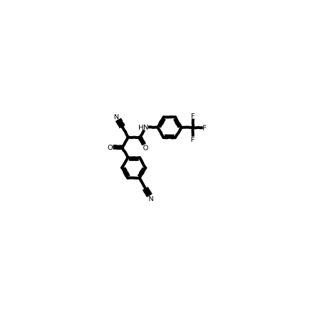 N#Cc1ccc(C(=O)C(C#N)C(=O)Nc2ccc(C(F)(F)F)cc2)cc1